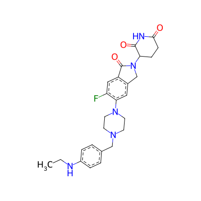 CCNc1ccc(CN2CCN(c3cc4c(cc3F)C(=O)N(C3CCC(=O)NC3=O)C4)CC2)cc1